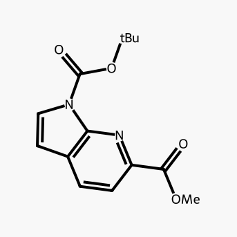 COC(=O)c1ccc2ccn(C(=O)OC(C)(C)C)c2n1